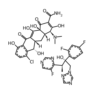 CN(C)[C@@H]1C(O)=C(C(N)=O)C(=O)[C@@]2(O)C(O)=C3C(=O)c4c(O)ccc(Cl)c4[C@@H](O)[C@H]3C[C@@H]12.C[C@@H](c1ncncc1F)[C@](O)(Cn1cncn1)c1ccc(F)cc1F